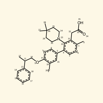 Cc1ncc(-c2cnc(OCC(C)c3ccccc3)c(F)c2)c(N2CCC(C)(C)CC2)c1CC(=O)O